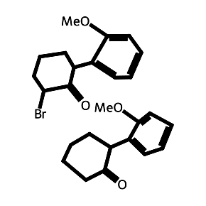 COc1ccccc1C1CCCC(Br)C1=O.COc1ccccc1C1CCCCC1=O